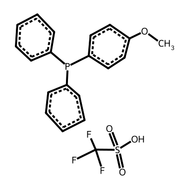 COc1ccc(P(c2ccccc2)c2ccccc2)cc1.O=S(=O)(O)C(F)(F)F